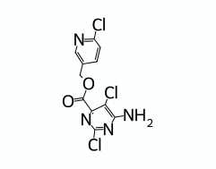 Nc1nc(Cl)nc(C(=O)OCc2ccc(Cl)nc2)c1Cl